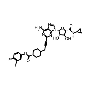 Nc1nc(C#CCC2CCN(C(=O)Oc3ccc(F)c(F)c3)CC2)nc2c1ncn2[C@@H]1O[C@H](C(=O)NC2CC2)C(O)[C@@H]1O